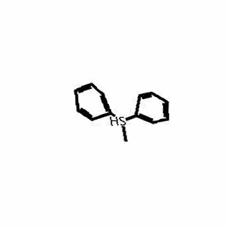 C[SH](c1ccccc1)c1ccccc1